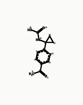 CC(=O)c1ccc(C2(NC(=O)O)CC2)nc1